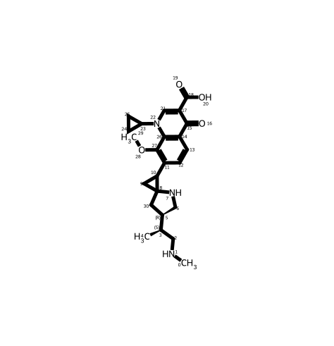 CNC[C@@H](C)[C@@H]1CNC2(CC2c2ccc3c(=O)c(C(=O)O)cn(C4CC4)c3c2OC)C1